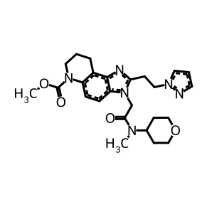 COC(=O)N1CCCc2c1ccc1c2nc(CCn2cccn2)n1CC(=O)N(C)C1CCOCC1